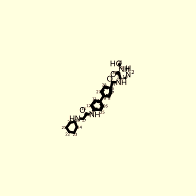 NC[C@H](NC(=O)c1ccc(-c2ccc(NC(=O)CNC3CCCCC3)cc2)cc1)C(=O)NO